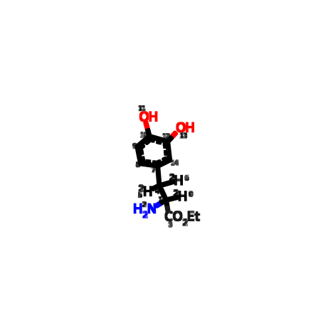 [2H]C(N)(C(=O)OCC)C([2H])([2H])c1ccc(O)c(O)c1